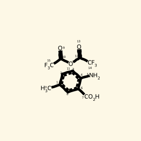 Cc1ccc(N)c(C(=O)O)c1.O=C(OC(=O)C(F)(F)F)C(F)(F)F